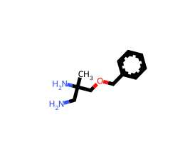 CC(N)(CN)COCc1ccccc1